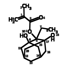 C=C(C)C(=O)OC1(CC)C2(O)CC3CC(C2)CC1(O)C3